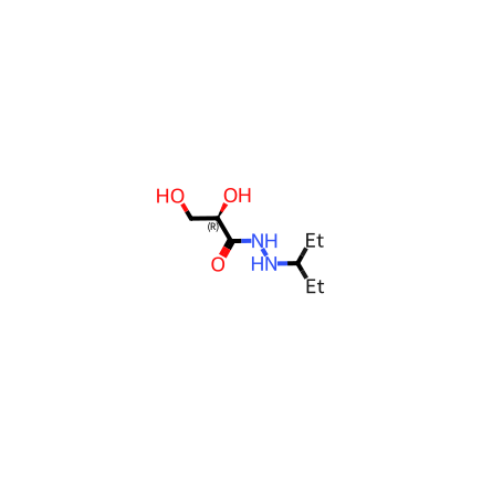 CCC(CC)NNC(=O)[C@H](O)CO